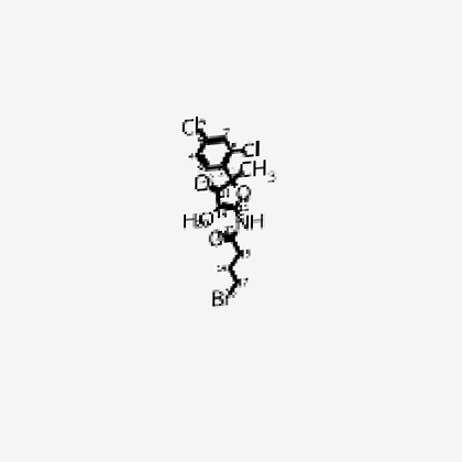 CC1(c2ccc(Cl)cc2Cl)OC(NC(=O)CCCBr)=C(O)C1=O